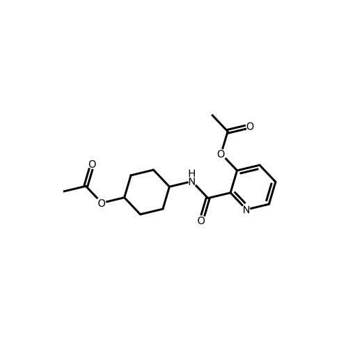 CC(=O)Oc1cccnc1C(=O)NC1CCC(OC(C)=O)CC1